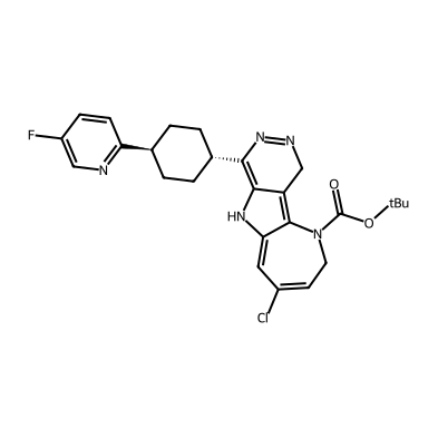 CC(C)(C)OC(=O)N1CC=C(Cl)C=c2[nH]c3c(c21)CN=NC=3[C@H]1CC[C@H](c2ccc(F)cn2)CC1